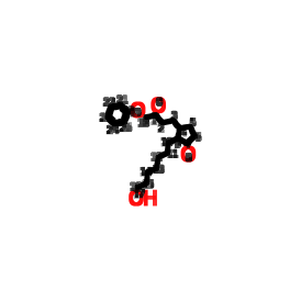 O=C(CCC1CCC(=O)C1CCCCCCCO)COc1ccccc1